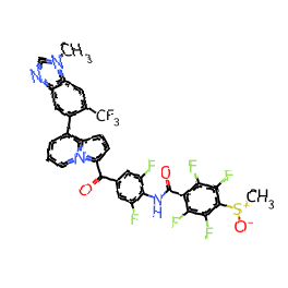 Cn1cnc2cc(-c3cccn4c(C(=O)c5cc(F)c(NC(=O)c6c(F)c(F)c([S+](C)[O-])c(F)c6F)c(F)c5)ccc34)c(C(F)(F)F)cc21